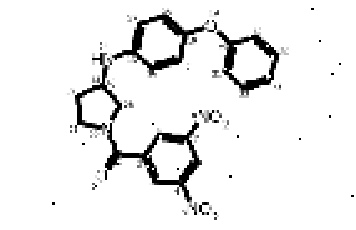 O=C(c1cc([N+](=O)[O-])cc([N+](=O)[O-])c1)N1CC[C@@H](Nc2ccc(Oc3ccccc3)cc2)C1